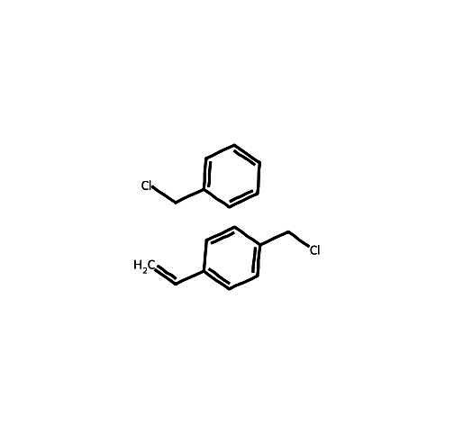 C=Cc1ccc(CCl)cc1.ClCc1ccccc1